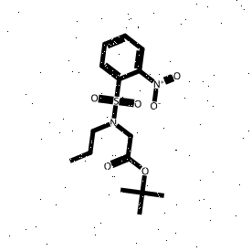 CCCN(CC(=O)OC(C)(C)C)S(=O)(=O)c1ccccc1[N+](=O)[O-]